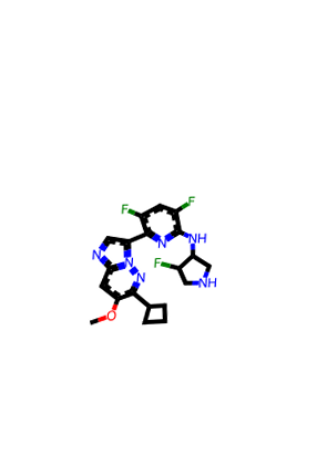 COc1cc2ncc(-c3nc(NC4CNCC4F)c(F)cc3F)n2nc1C1CCC1